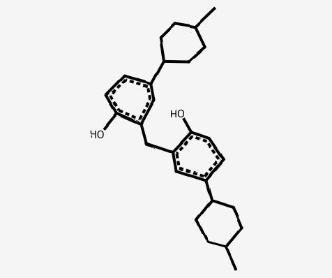 CC1CCC(c2ccc(O)c(Cc3cc(C4CCC(C)CC4)ccc3O)c2)CC1